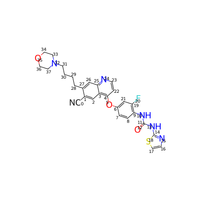 N#Cc1cc2c(Oc3ccc(NC(=O)Nc4nccs4)c(F)c3)ccnc2cc1CCCCN1CCOCC1